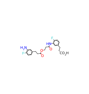 Nc1cc(CCC(=O)OCCC(=O)Nc2cc(CCC(=O)O)ccc2F)ccc1F